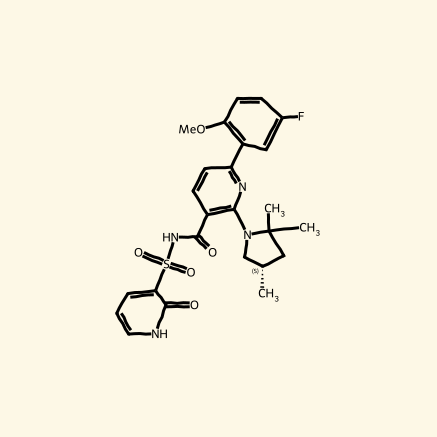 COc1ccc(F)cc1-c1ccc(C(=O)NS(=O)(=O)c2ccc[nH]c2=O)c(N2C[C@@H](C)CC2(C)C)n1